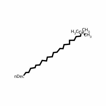 [CH2]CCCCCCCCCCCCCCCCCCCCCCCCCCCC[CH2][Ge]([CH3])([CH3])[CH3]